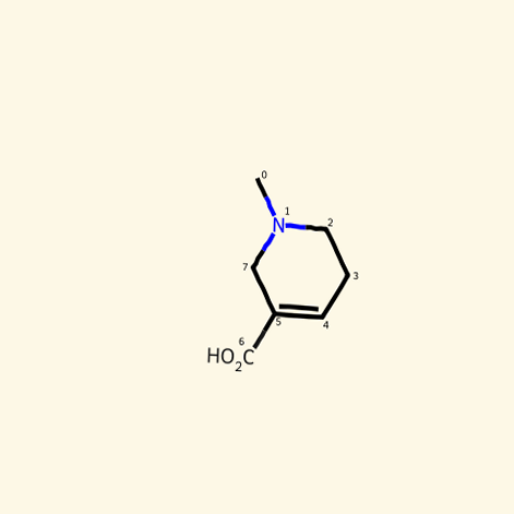 CN1CCC=C(C(=O)O)C1